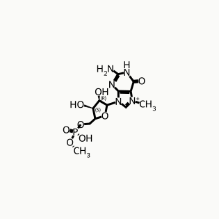 COP(=O)(O)OCC1OC(n2c[n+](C)c3c(=O)[nH]c(N)nc32)[C@H](O)[C@@H]1O